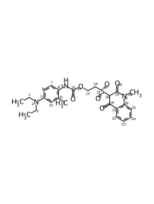 CCN(CC)c1ccc(NC(=O)OCCS(=O)(=O)C2C(=O)c3ccccc3N(C)C2=O)c(C)c1